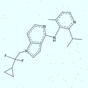 Cc1ccnc(C(C)C)c1Nc1nccc2c1ccn2CC(F)(F)C1CC1